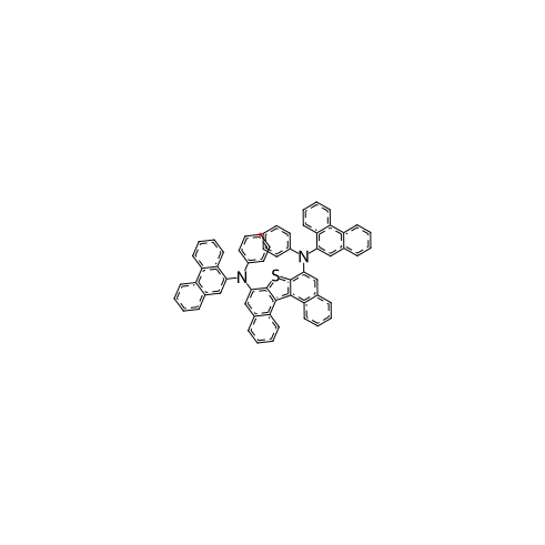 c1ccc(N(c2cc3ccccc3c3ccccc23)c2cc3ccccc3c3c2sc2c(N(c4ccccc4)c4cc5ccccc5c5ccccc45)cc4ccccc4c23)cc1